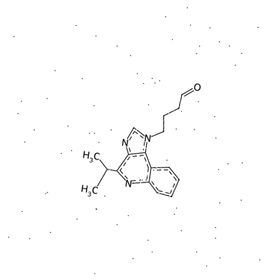 CC(C)c1nc2ccccc2c2c1ncn2CCCC=O